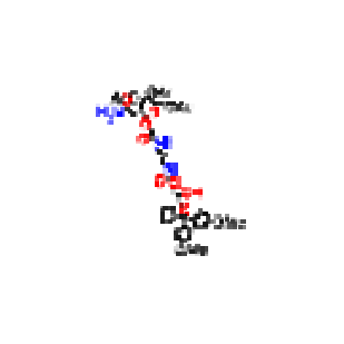 COc1ccc(C(OC[C@@H](O)COC(=O)NCCCNC(=O)CO[C@@H]2O[C@H](COC(C)=O)[C@H](OC(C)=O)[C@H](OC(C)=O)[C@H]2CC(N)=O)(c2ccccc2)c2ccc(OC)cc2)cc1